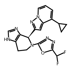 FC(F)c1nnc(N2CCc3[nH]cnc3[C@H]2c2cc3c(C4CC4)cccn3n2)o1